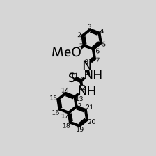 COc1ccccc1/C=N/NC(=S)Nc1cccc2ccccc12